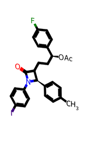 CC(=O)O[C@@H](CCC1C(=O)N(c2ccc(I)cc2)[C@@H]1c1ccc(C)cc1)c1ccc(F)cc1